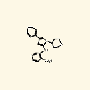 O=C(O)c1ccncc1Nc1cc(-c2ccccc2)nn1C1CCOCC1